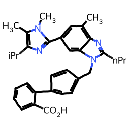 CCCc1nc2c(C)cc(-c3nc(C(C)C)c(C)n3C)cc2n1Cc1ccc(-c2ccccc2C(=O)O)cc1